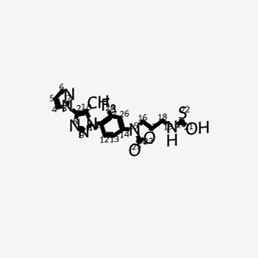 Cc1c(-n2cccn2)nnn1-c1ccc(N2CC(CNC(O)=S)OC2=O)cc1F